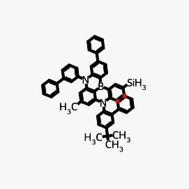 Cc1cc2c3c(c1)N(c1ccc(C(C)(C)C)cc1-c1ccccc1)c1ccc([SiH3])cc1B3c1ccc(-c3ccccc3)cc1N2c1cccc(-c2ccccc2)c1